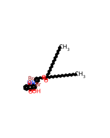 CCCCCCCCCCCCCCCCCCC(CCCCCCCCCCCCCCCC)C(=O)OCCc1cc(Br)c(Nc2ccc(O)c3c2C(=O)c2ccccc2C3=O)c(Br)c1